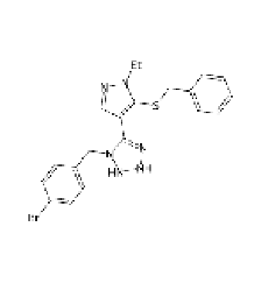 CCn1ncc(C2=NNNN2Cc2ccc(Br)cc2)c1SCc1ccccc1